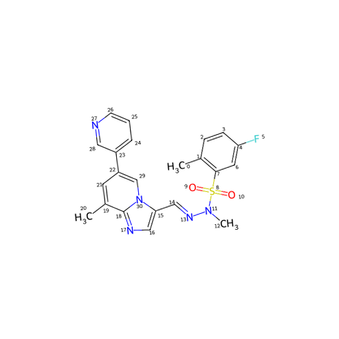 Cc1ccc(F)cc1S(=O)(=O)N(C)/N=C/c1cnc2c(C)cc(-c3cccnc3)cn12